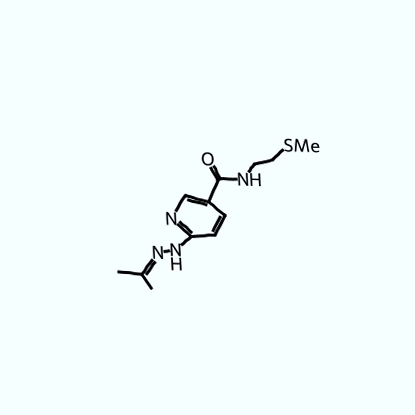 CSCCNC(=O)c1ccc(NN=C(C)C)nc1